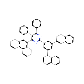 C1=CC2=CC=CC(c3cc(C4=Cc5ccccc5CC4)cc(-c4nc(-c5ccccc5)c(-c5ccccc5)c(-c5cc6c(c7c5CCC=C7)C=CCC6)n4)c3)C2C=C1